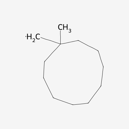 [CH2]C1(C)CCCCCCCCC1